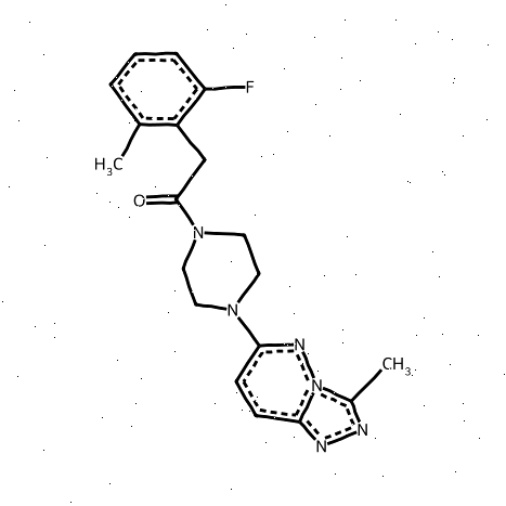 Cc1cccc(F)c1CC(=O)N1CCN(c2ccc3nnc(C)n3n2)CC1